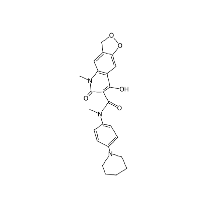 CN(C(=O)c1c(O)c2cc3c(cc2n(C)c1=O)COO3)c1ccc(N2CCCCC2)cc1